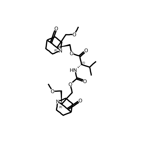 COC[C@@]1(COC(=O)N[C@H](C(=O)OC[C@]2(COC)C(=O)C3CCN2CC3)C(C)C)C(=O)C2CCN1CC2